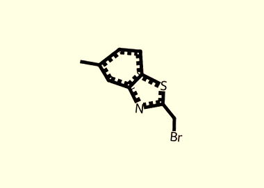 Cc1ccc2sc(CBr)nc2c1